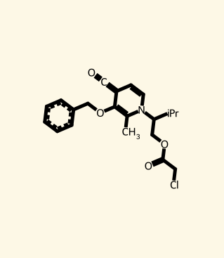 CC1=C(OCc2ccccc2)C(=C=O)C=CN1C(COC(=O)CCl)C(C)C